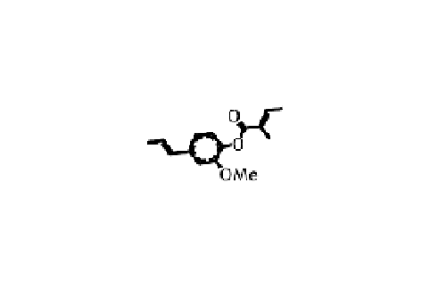 C/C=C/c1ccc(OC(=O)/C(C)=C/C)c(OC)c1